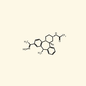 CC(=NO)c1ccc2c(c1)[C@H](C)c1ccccc1[C@H]1C[C@H](NC(=O)C(F)(F)F)CCN21